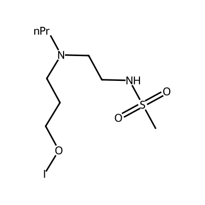 CCCN(CCCOI)CCNS(C)(=O)=O